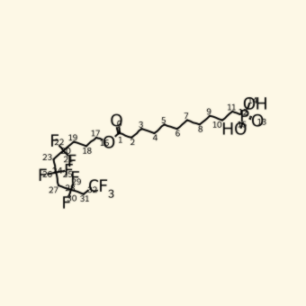 O=C(CCCCCCCCCCP(=O)(O)O)OCCCC(F)(F)CC(F)(F)CC(F)(F)CC(F)(F)F